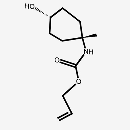 C=CCOC(=O)N[C@]1(C)CC[C@H](O)CC1